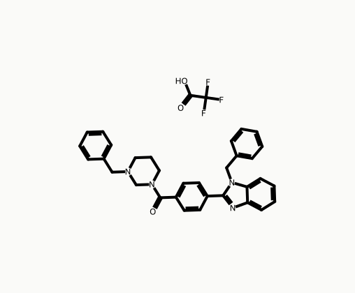 O=C(O)C(F)(F)F.O=C(c1ccc(-c2nc3ccccc3n2Cc2ccccc2)cc1)N1CCCN(Cc2ccccc2)C1